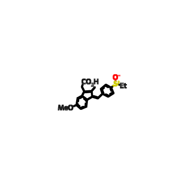 CC[S+]([O-])c1ccc(C=C2C(C)=C(CC(=O)O)c3cc(OC)ccc32)cc1